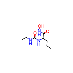 CCCC(NC(=O)NCC)C(=O)NO